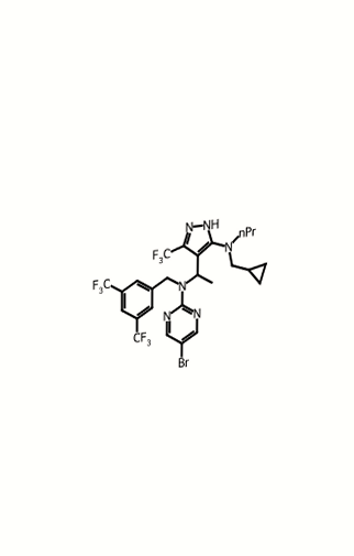 CCCN(CC1CC1)c1[nH]nc(C(F)(F)F)c1C(C)N(Cc1cc(C(F)(F)F)cc(C(F)(F)F)c1)c1ncc(Br)cn1